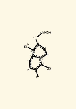 CCCCCCOc1ccc2c(Br)c(C)ccc2c1Br